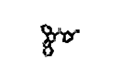 Oc1cccc(Nc2nc3c(nn4cnccc34)c3ccncc23)c1